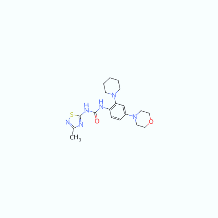 Cc1nsc(NC(=O)Nc2ccc(N3CCOCC3)cc2N2CCCCC2)n1